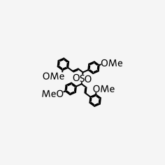 COc1ccc(C(C=Cc2ccccc2OC)S(=O)(=O)C(C=Cc2ccccc2OC)c2ccc(OC)cc2)cc1